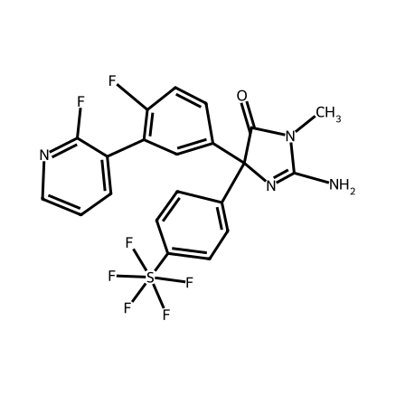 CN1C(=O)C(c2ccc(S(F)(F)(F)(F)F)cc2)(c2ccc(F)c(-c3cccnc3F)c2)N=C1N